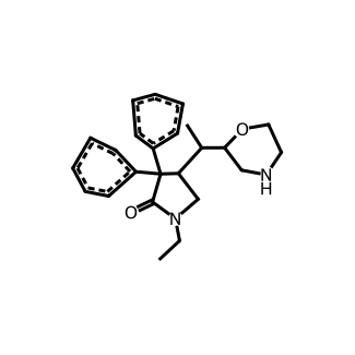 CCN1CC(C(C)C2CNCCO2)C(c2ccccc2)(c2ccccc2)C1=O